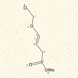 COC(=O)C/C=C/OCCl